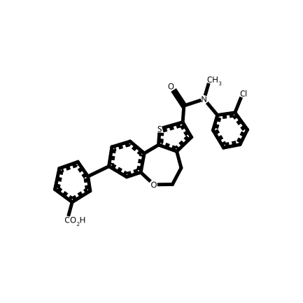 CN(C(=O)c1cc2c(s1)-c1ccc(-c3cccc(C(=O)O)c3)cc1OCC2)c1ccccc1Cl